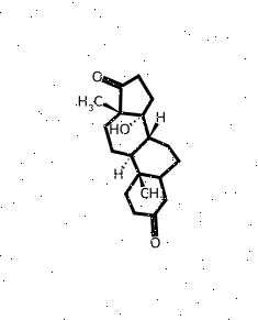 C[C@]12CCC(=O)CC1CC[C@@H]1[C@@H]2CC[C@]2(C)C(=O)CC[C@@]12O